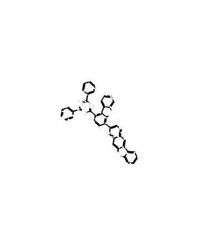 c1ccc(-c2nc(-c3ccccc3)nc(-c3ccc(-c4ccc5cc6c(cc5c4)oc4ccccc46)c4oc5ccccc5c34)n2)cc1